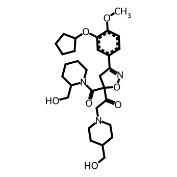 COc1ccc(C2=NOC(C(=O)CN3CCC(CO)CC3)(C(=O)N3CCCCC3CO)C2)cc1OC1CCCC1